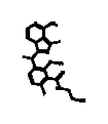 Cc1nc(C(C)c2ccc(F)c(C(=O)NCCO)c2OC(C)C)n2ccnc(N)c12